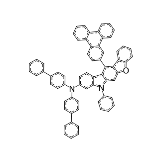 c1ccc(-c2ccc(N(c3ccc(-c4ccccc4)cc3)c3ccc4c5c(-c6ccc7c8ccccc8c8ccccc8c7c6)c6c(cc5n(-c5ccccc5)c4c3)oc3ccccc36)cc2)cc1